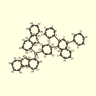 c1ccc(-c2cc(-c3ccccc3)c3ccccc3c2-c2ccc(N(c3cccc4c3sc3ccccc34)c3cccc4c3sc3ccccc34)cc2)cc1